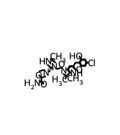 C[C@@H]1CN(CC(=O)N2CC(C)(C)c3[nH]c(=O)c(Cc4ccc(Cl)cc4O)cc32)[C@@H](CN2CCOC(C(N)=O)C2)CN1